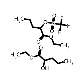 CCCC(O)C(=O)OCC.CCCC(OS(=O)(=O)C(F)(F)F)C(=O)OCC